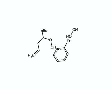 C=CCC(CCCC)OO.CCc1ccccc1.OO